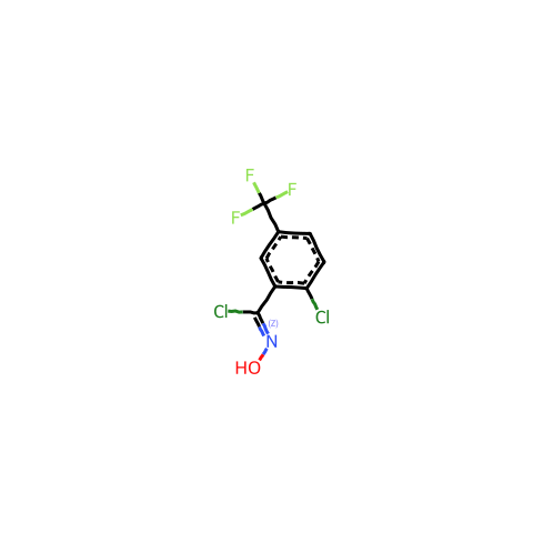 O/N=C(\Cl)c1cc(C(F)(F)F)ccc1Cl